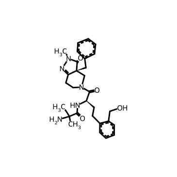 CN1N=C2CCN(C(=O)[C@@H](CCc3ccccc3CO)NC(=O)C(C)(C)N)C[C@@]2(Cc2ccccc2)C1=O